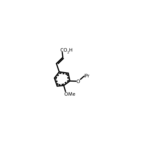 COc1ccc(C=CC(=O)O)cc1OC(C)C